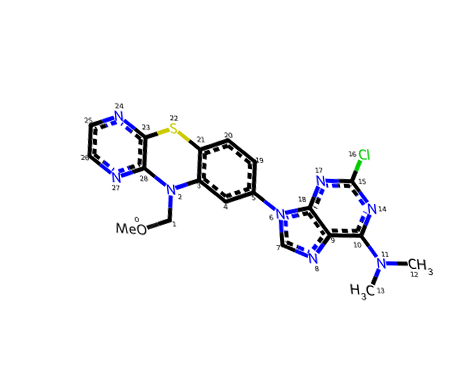 COCN1c2cc(-n3cnc4c(N(C)C)nc(Cl)nc43)ccc2Sc2nccnc21